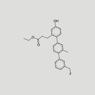 CCOC(=O)CCc1cc(O)ccc1-c1ccc(-c2cccc(CF)c2)c(C)c1